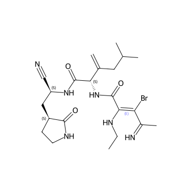 C=C(CC(C)C)[C@H](NC(=O)/C(NCC)=C(\Br)C(C)=N)C(=O)N[C@H](C#N)C[C@@H]1CCNC1=O